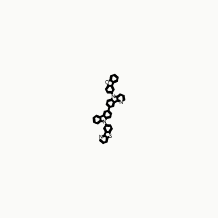 c1ccc2c(c1)oc1ccc(-n3c4ccc(-c5ccc6c(c5)c5ccccc5n6-c5ccc6sc7cccnc7c6c5)cc4c4ncccc43)cc12